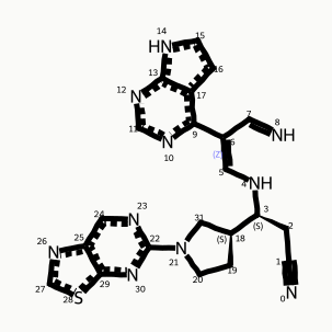 N#CC[C@H](N/C=C(\C=N)c1ncnc2[nH]ccc12)[C@H]1CCN(c2ncc3ncsc3n2)C1